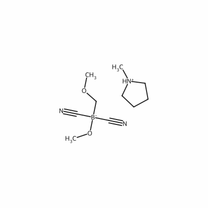 COC[B-](C#N)(C#N)OC.C[NH+]1CCCC1